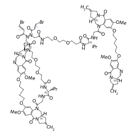 C=C1C[C@H]2CN(C(=O)CNC(=O)[C@@H](NC(=O)CCOCCOCCNC(=O)CN(C(=O)/C=C/Br)N(CC(=O)NCCOCCOCCC(=O)N[C@H](C(=O)NCC(=O)N3C[C@@H]4CC(=C)CN4C(=O)c4cc(OC)c(OCCCCCOc5cc6c(cc5OC)C(=O)N5CC(=C)C[C@H]5C=N6)cc43)C(C)C)C(=O)/C=C/Br)C(C)C)c3cc(OCCCCCOc4cc5c(cc4OC)C(=O)N4CC(=C)C[C@H]4C=N5)c(OC)cc3C(=O)N2C1